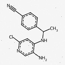 CC(Nc1cc(Cl)ncc1N)c1ccc(C#N)cc1